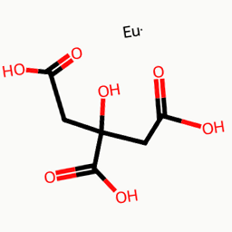 O=C(O)CC(O)(CC(=O)O)C(=O)O.[Eu]